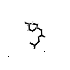 CC(C)CCC(C)CN1CCN(C)CC1